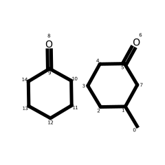 CC1CCCC(=O)C1.O=C1CCCCC1